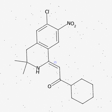 CC1(C)Cc2cc(Cl)c([N+](=O)[O-])cc2/C(=C/C(=O)C2CCCCC2)N1